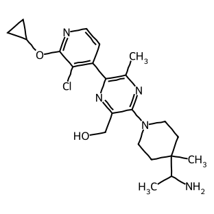 Cc1nc(N2CCC(C)(C(C)N)CC2)c(CO)nc1-c1ccnc(OC2CC2)c1Cl